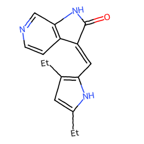 CCc1cc(CC)c(C=C2C(=O)Nc3cnccc32)[nH]1